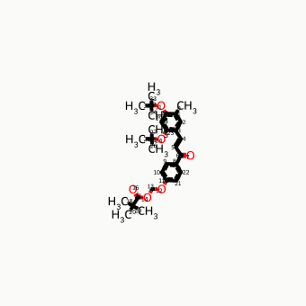 Cc1cc(/C=C/C(=O)c2ccc(OCOC(=O)C(C)(C)C)cc2)c(OC(C)(C)C)cc1OC(C)(C)C